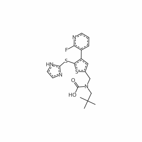 CC(C)(C)CN(Cc1cc(-c2cccnc2F)c(Sc2ncc[nH]2)s1)C(=O)O